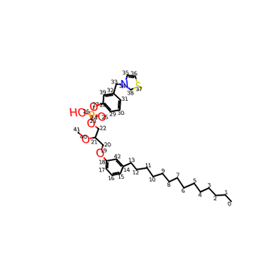 CCCCCCCCCCCCCCc1cccc(OCC(COP(=O)(O)Oc2cccc(CN3C=CSC3)c2)OC)c1